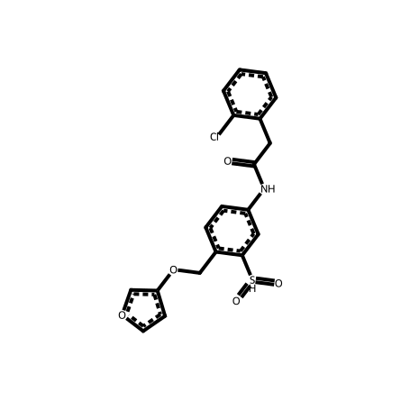 O=C(Cc1ccccc1Cl)Nc1ccc(COc2ccoc2)c([SH](=O)=O)c1